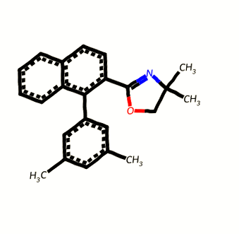 Cc1cc(C)cc(-c2c(C3=NC(C)(C)CO3)ccc3ccccc23)c1